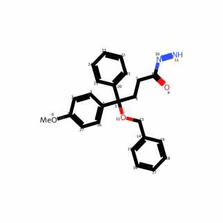 COc1ccc(C(CCC(=O)N=N)(OCc2ccccc2)c2ccccc2)cc1